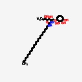 CCCCCCCCCCCCCCCCCCCCCCCCNC(=O)NC(COC1/C=C\CCC(O)C(O)C1O)C(O)CC(O)CC